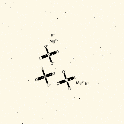 O=S(=O)([O-])[O-].O=S(=O)([O-])[O-].O=S(=O)([O-])[O-].[K+].[K+].[Mg+2].[Mg+2]